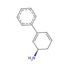 N[C@H]1C=C(c2ccccc2)C=CC1